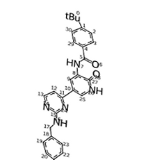 CC(C)(C)c1ccc(C(=O)Nc2cc(-c3ccnc(NCc4ccccc4)n3)c[nH]c2=O)cc1